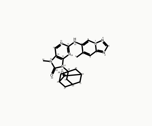 Cc1cc2ncnn2cc1Nc1ncc2c(n1)n(C13CC4CC(C1)C(=O)C(C4)C3)c(=O)n2C